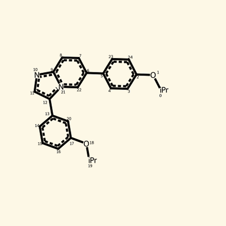 CC(C)Oc1ccc(-c2ccc3ncc(-c4cccc(OC(C)C)c4)n3c2)cc1